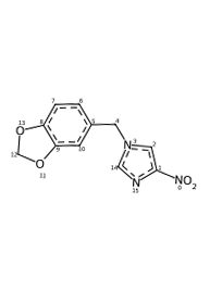 O=[N+]([O-])c1cn(Cc2ccc3c(c2)OCO3)cn1